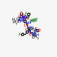 CNC(C)C(=O)NC(C(=O)N1Cc2ccc(NC(=O)CCNC(=O)C3(C)CN(C(=O)CN4C[C@@H](C)NC[C@@H]4CN4CCOCC4C)c4cc(Cc5ccc(F)cc5)ccc43)cc2C1C(=O)Nc1c(F)cccc1F)C1CCOCC1.Cl.Cl.Cl